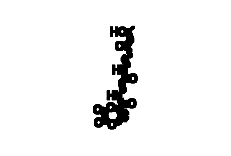 C[C@@H](O)CC(=O)SCCNC(=O)CCNC(=O)[C@@H]1OC(=O)C(=O)OCC1(C)C